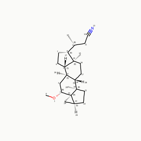 CO[C@@H]1C[C@H]2[C@@H]3CC[C@H]([C@H](C)CC#N)[C@@]3(C)CC[C@@H]2[C@@]2(C)CC[C@H]3C[C@]312